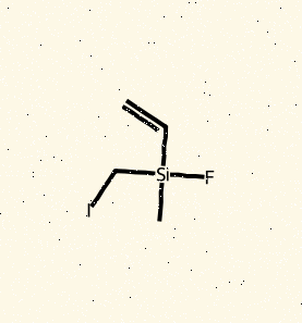 C=C[Si](C)(F)CI